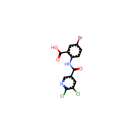 O=C(Nc1ccc(Br)cc1C(=O)O)c1cnc(Cl)c(Cl)c1